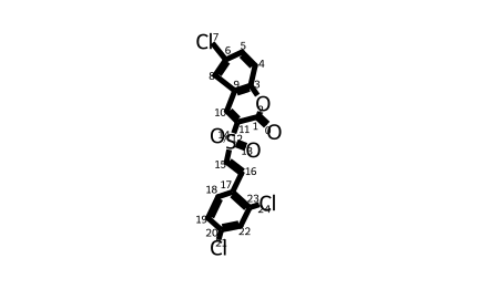 O=c1oc2ccc(Cl)cc2cc1S(=O)(=O)/C=C/c1ccc(Cl)cc1Cl